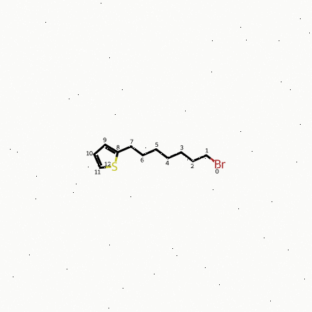 BrCCCCCCCc1cccs1